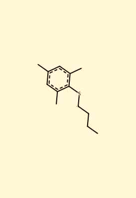 CCC[CH]Sc1c(C)cc(C)cc1C